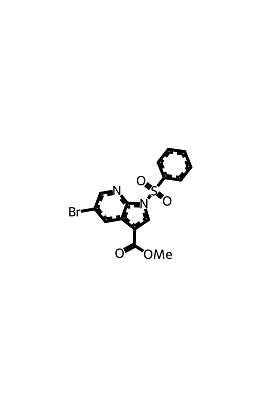 COC(=O)c1cn(S(=O)(=O)c2ccccc2)c2ncc(Br)cc12